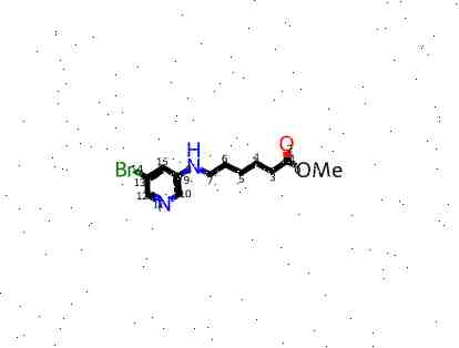 COC(=O)CCCCCNc1cncc(Br)c1